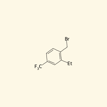 CCc1cc(C(F)(F)F)ccc1CBr